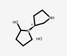 Cl.OC1CCCN1[C@H]1CCNC1